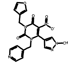 Cn1cc(-c2c([N+](=O)[O-])c(=O)n(Cc3ccoc3)c(=O)n2Cc2ccncc2)cn1